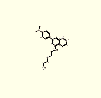 CN(C)c1ccc(-c2cc(NCCSCCO)c3ccnnc3c2)cc1